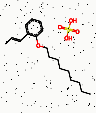 CC=Cc1ccccc1OCCCCCCCCC.O=S(=O)(O)O